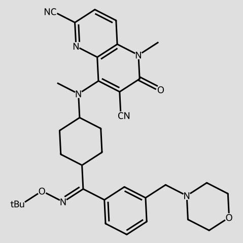 CN(c1c(C#N)c(=O)n(C)c2ccc(C#N)nc12)C1CCC(/C(=N\OC(C)(C)C)c2cccc(CN3CCOCC3)c2)CC1